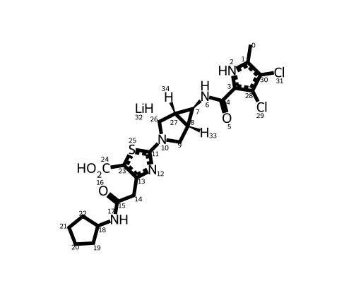 Cc1[nH]c(C(=O)N[C@H]2[C@@H]3CN(c4nc(CC(=O)NC5CCCC5)c(C(=O)O)s4)C[C@@H]32)c(Cl)c1Cl.[LiH]